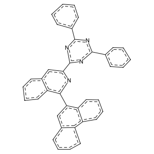 c1ccc(-c2nc(-c3ccccc3)nc(-c3cc4ccccc4c(-c4cc5ccccc5c5ccccc45)n3)n2)cc1